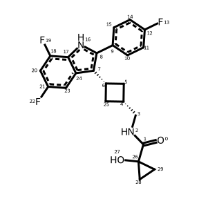 O=C(NC[C@H]1C[C@@H](c2c(-c3ccc(F)cc3)[nH]c3c(F)cc(F)cc32)C1)C1(O)CC1